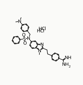 CN(C)c1ccc(CN(c2ccc3c(c2)nc(CCc2ccc(C(=N)N)cc2)n3C)S(=O)(=O)c2ccccc2)cc1.Cl.Cl